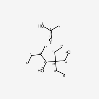 CC(=O)O.CCC(C)C(O)C(CC)(CC)CO